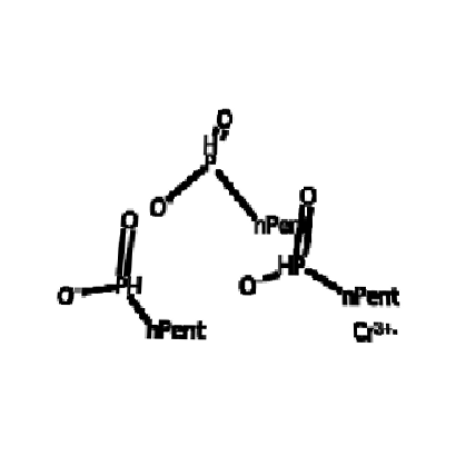 CCCCC[PH](=O)[O-].CCCCC[PH](=O)[O-].CCCCC[PH](=O)[O-].[Cr+3]